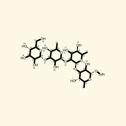 CCCO[C@@H]1OC(C)[C@H](O)C(O[C@@H]2OC(C)[C@H](O)C(O)C2O[C@@H]2OC(C)[C@H](O)C(O[C@H]3OC(CO)[C@@H](O)C(O)C3O)C2O)C1O